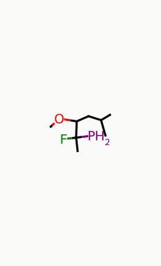 COC(CC(C)C)C(C)(F)P